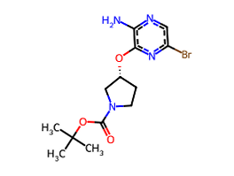 CC(C)(C)OC(=O)N1CC[C@@H](Oc2nc(Br)cnc2N)C1